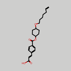 C=CCCCCCOC1CCC(OC(=O)c2ccc(C=CC(=O)O)cc2)CC1